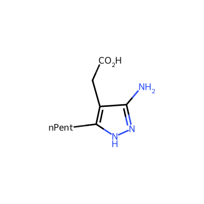 CCCCCc1[nH]nc(N)c1CC(=O)O